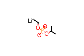 CCOP(=O)([O-])OC(C)C.[Li+]